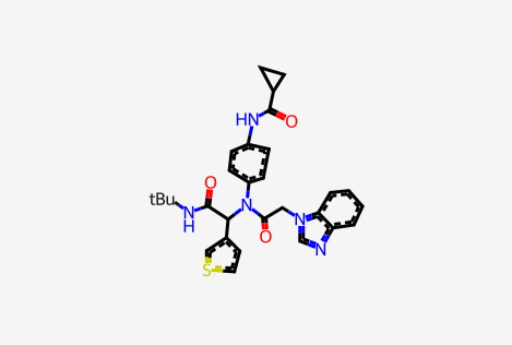 CC(C)(C)NC(=O)C(c1ccsc1)N(C(=O)Cn1cnc2ccccc21)c1ccc(NC(=O)C2CC2)cc1